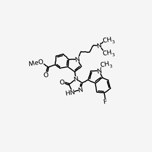 COC(=O)c1ccc2c(c1)c(-n1c(-c3cn(C)c4ccc(F)cc34)n[nH]c1=O)cn2CCCN(C)C